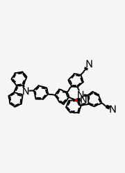 N#Cc1ccc(-c2cc(-c3ccc(-n4c5ccccc5c5ccccc54)cc3)ccc2C#N)c(-n2c3ccccc3c3cc(C#N)ccc32)c1